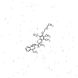 CCOCCOc1c(C)c(C)c2c(c1C)CCC(C)(C(=O)Nc1cc(C)c3ccccc3n1)O2